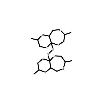 CC1CSC2(SSC34SCC(C)SCC3SC(C)CS4)SCC(C)SC2CS1